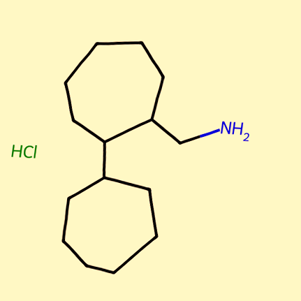 Cl.NCC1CCCCCC1C1CCCCCC1